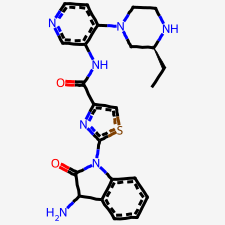 CC[C@H]1CN(c2ccncc2NC(=O)c2csc(N3C(=O)C(N)c4ccccc43)n2)CCN1